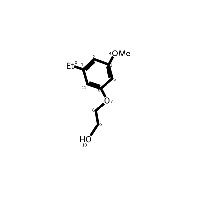 CCc1cc(OC)cc(OCCO)c1